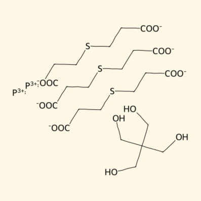 O=C([O-])CCSCCC(=O)[O-].O=C([O-])CCSCCC(=O)[O-].O=C([O-])CCSCCC(=O)[O-].OCC(CO)(CO)CO.[P+3].[P+3]